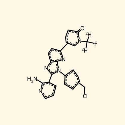 [2H]C([2H])(F)n1cc(-c2ccc3nc(-c4cccnc4N)n(-c4ccc(CCl)cc4)c3n2)ccc1=O